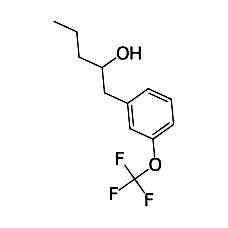 CCCC(O)Cc1cccc(OC(F)(F)F)c1